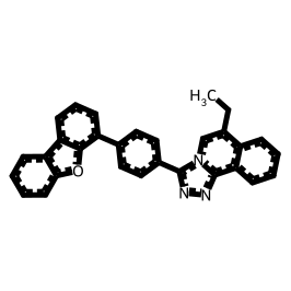 CCc1cn2c(-c3ccc(-c4cccc5c4oc4ccccc45)cc3)nnc2c2ccccc12